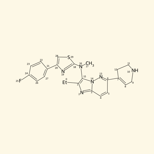 CCc1nc2ccc(C3=CCNCC3)nn2c1N(C)c1nc(-c2ccc(F)cc2)cs1